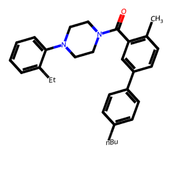 CCCCc1ccc(-c2ccc(C)c(C(=O)N3CCN(c4ccccc4CC)CC3)c2)cc1